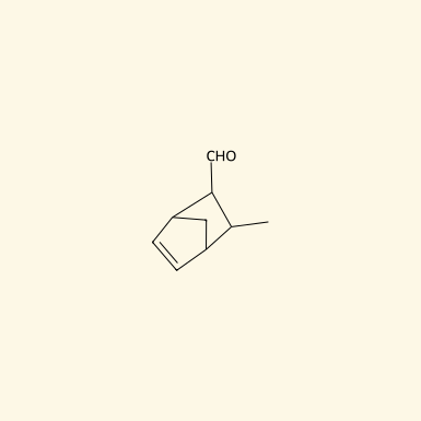 CC1C2C=CC(C2)C1C=O